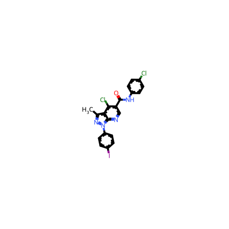 Cc1nn(-c2ccc(I)cc2)c2ncc(C(=O)Nc3ccc(Cl)cc3)c(Cl)c12